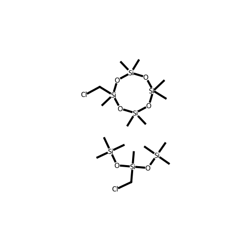 C[Si](C)(C)O[Si](C)(CCl)O[Si](C)(C)C.C[Si]1(C)O[Si](C)(C)O[Si](C)(CCl)O[Si](C)(C)O1